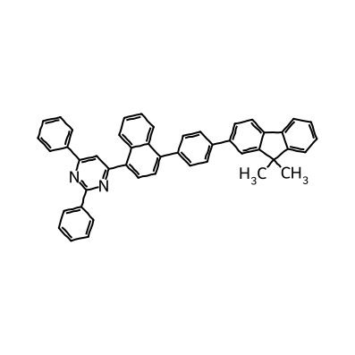 CC1(C)c2ccccc2-c2ccc(-c3ccc(-c4ccc(-c5cc(-c6ccccc6)nc(-c6ccccc6)n5)c5ccccc45)cc3)cc21